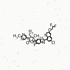 Cc1ncc(N(C(=O)O)[C@H](C)[C@H](C)Oc2cc3sc(-c4cc(Cl)cc5cc(OCC(F)F)cnc45)nc3cc2F)cn1